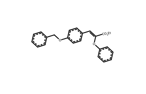 CCOC(=O)C(=Cc1ccc(OCc2ccccc2)cc1)Oc1ccccc1